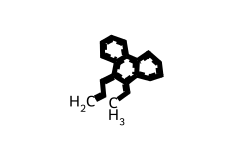 C=C/C=c1\c(=C/C)c2ccccc2c2ccccc12